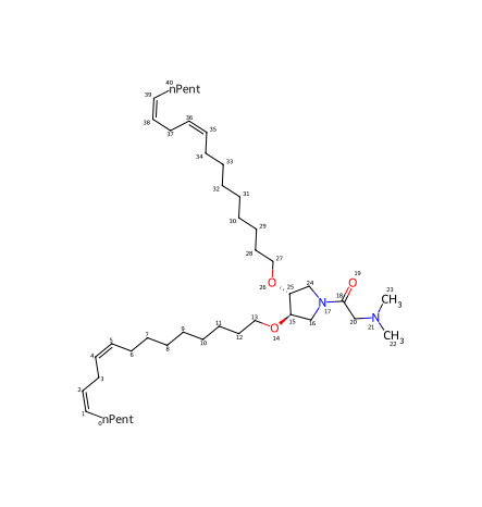 CCCCC/C=C\C/C=C\CCCCCCCCO[C@@H]1CN(C(=O)CN(C)C)C[C@H]1OCCCCCCCC/C=C\C/C=C\CCCCC